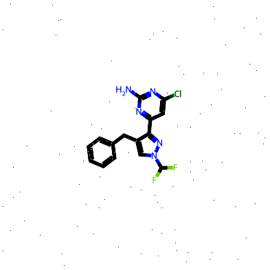 Nc1nc(Cl)cc(-c2nn(C(F)F)cc2Cc2ccccc2)n1